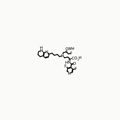 CO[C@H](CF)CN(CCCCc1ccc2c(n1)NCCC2)CC[C@H](NC(=O)c1c(F)cncc1F)C(=O)O